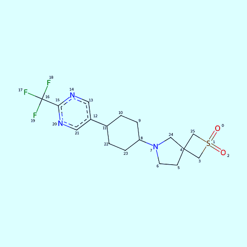 O=S1(=O)CC2(CCN(C3CCC(c4cnc(C(F)(F)F)nc4)CC3)C2)C1